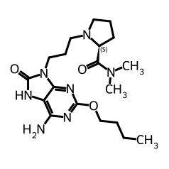 CCCCOc1nc(N)c2[nH]c(=O)n(CCCN3CCC[C@H]3C(=O)N(C)C)c2n1